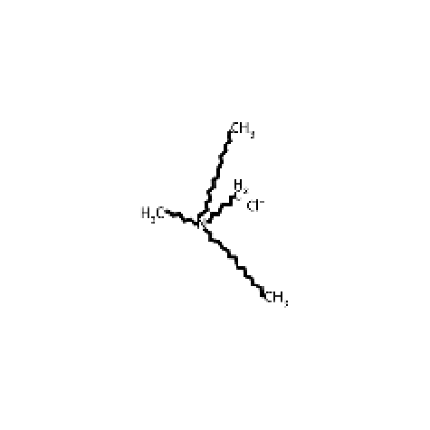 CCCCCCCCCCCCCCCC[N+](CCCCCCC)(CCCCCCC)CCCCCCCCCCCCCCCC.[Cl-]